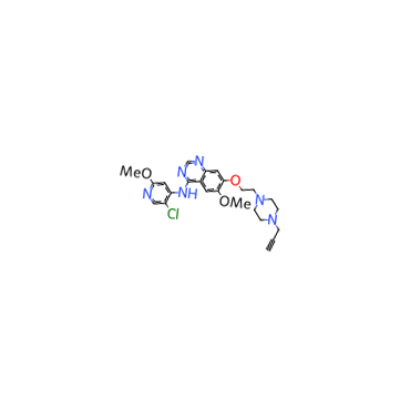 C#CCN1CCN(CCOc2cc3ncnc(Nc4cc(OC)ncc4Cl)c3cc2OC)CC1